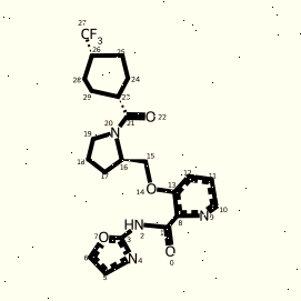 O=C(Nc1ncco1)c1ncccc1OC[C@H]1CCCN1C(=O)[C@H]1CC[C@@H](C(F)(F)F)CC1